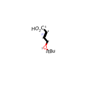 CC(C)(C)OC/C=C/C(=O)O